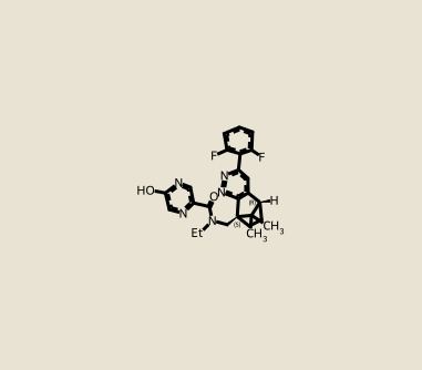 CCN(C[C@@]12CC[C@@H](c3cc(-c4c(F)cccc4F)nnc31)C2(C)C)C(=O)c1cnc(O)cn1